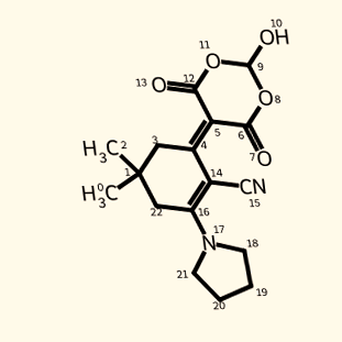 CC1(C)CC(=C2C(=O)OC(O)OC2=O)C(C#N)=C(N2CCCC2)C1